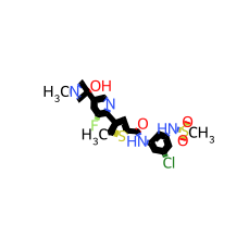 Cc1sc(C(=O)Nc2cc(Cl)cc(NS(C)(=O)=O)c2)cc1-c1ncc(C2(O)CN(C)C2)cc1F